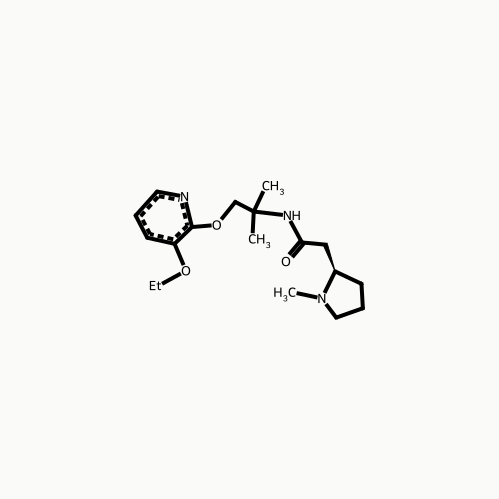 CCOc1cccnc1OCC(C)(C)NC(=O)C[C@H]1CCCN1C